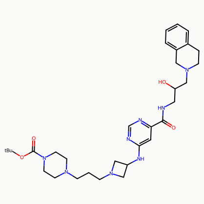 CC(C)(C)OC(=O)N1CCN(CCCN2CC(Nc3cc(C(=O)NCC(O)CN4CCc5ccccc5C4)ncn3)C2)CC1